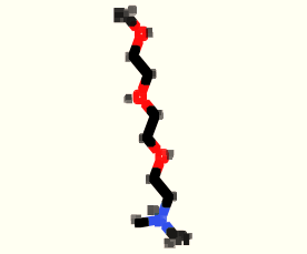 CCOCCOCCOCCN(C)C(C)C